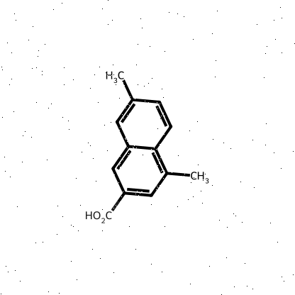 Cc1ccc2c(C)cc(C(=O)O)cc2c1